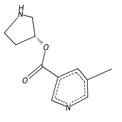 Cc1cncc(C(=O)O[C@@H]2CCNC2)c1